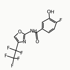 O=C(Nc1nc(C(F)(F)C(F)(F)F)co1)c1ccc(F)c(O)c1